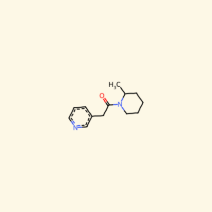 CC1CCCCN1C(=O)Cc1cccnc1